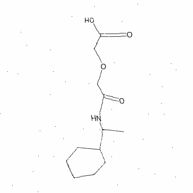 CC(NC(=O)COCC(=O)O)C1CCCCC1